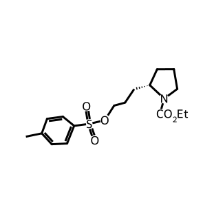 CCOC(=O)N1CCC[C@H]1CCCOS(=O)(=O)c1ccc(C)cc1